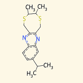 CC(C)c1ccc2nc3c(nc2c1)CSC(C)C(C)SC3